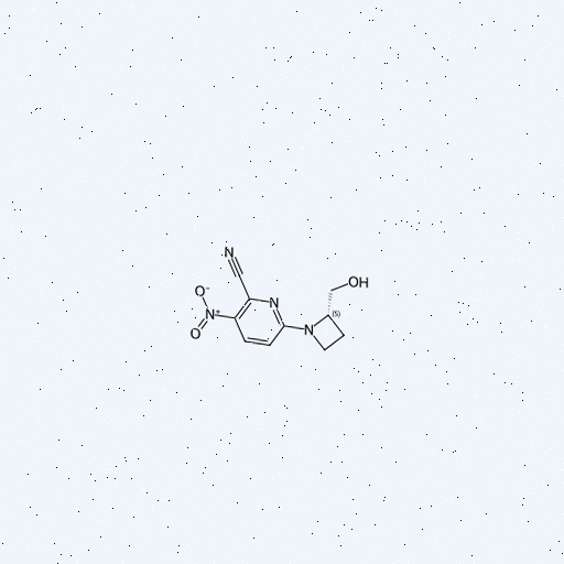 N#Cc1nc(N2CC[C@H]2CO)ccc1[N+](=O)[O-]